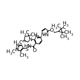 Cc1c(SNC(=O)c2ccc(-n3ccc(OCC4C(C)(C)C4(C)C)n3)nc2N2C[C@@H](C)CC2(C)C)cnn1C